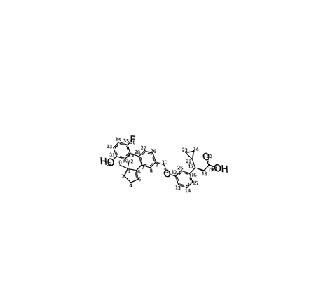 CC1(C)CCC=C1c1cc(COc2cccc([C@H](CC(=O)O)C3CC3)c2)ccc1-c1cc(O)ccc1F